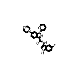 O=C(Nc1c[nH]c2ccc(F)cc12)c1nn(C2CCCCO2)c2cc(N3CCOCC3)ccc12